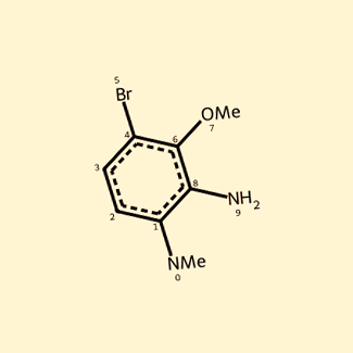 CNc1ccc(Br)c(OC)c1N